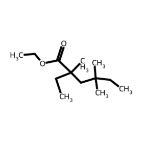 CCOC(=O)C(C)(CC)CC(C)(C)CC